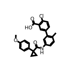 COc1ccc(C2(C(=O)Nc3ccc(C)c(-c4ccc(Cl)c(C(=O)O)c4)c3)CC2)cc1